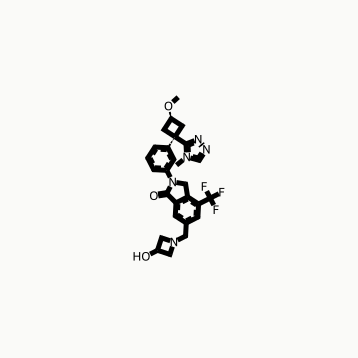 CO[C@H]1C[C@](c2cccc(N3Cc4c(cc(CN5CC(O)C5)cc4C(F)(F)F)C3=O)c2)(c2nncn2C)C1